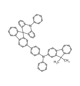 CC1(C)c2ccccc2-c2ccc(N(c3ccccc3)c3ccc(-c4ccc5c(c4)C4(c6ccccc6-5)c5ccccc5N(c5ccccc5)c5ccccc54)cc3)cc21